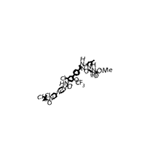 COC(=O)NC(C(=O)N1CC(C)C[C@H]1c1nc(-c2ccc(-c3cc(Cl)c(NC(=O)N4CCN(C5CCN(C(=O)[C@@H]6CC6(Cl)Cl)CC5)CC4)cc3OC(F)(F)F)cc2)c[nH]1)C(C)C